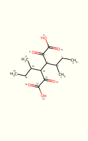 CCC(C)C(C(=O)C(=O)O)C(C(=O)C(=O)O)C(C)CC